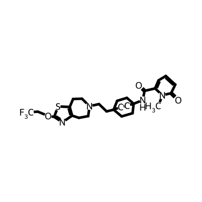 Cn1c(C(=O)NC23CCC(CCN4CCc5nc(OCC(F)(F)F)sc5CC4)(CC2)CC3)cccc1=O